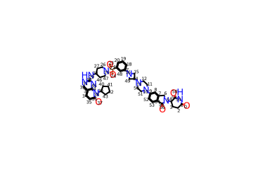 O=C1CCC(N2Cc3cc(N4CCN(C5CN(c6cccc(S(=O)(=O)N7CCC(Nc8ncc9ccc(=O)n(C%10CCCC%10)c9n8)CC7)c6)C5)CC4)ccc3C2=O)C(=O)N1